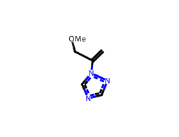 C=C(COC)n1cncn1